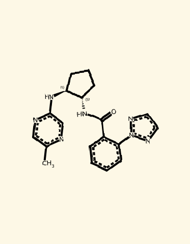 Cc1cnc(N[C@H]2CCC[C@@H]2NC(=O)c2ccccc2-n2nccn2)cn1